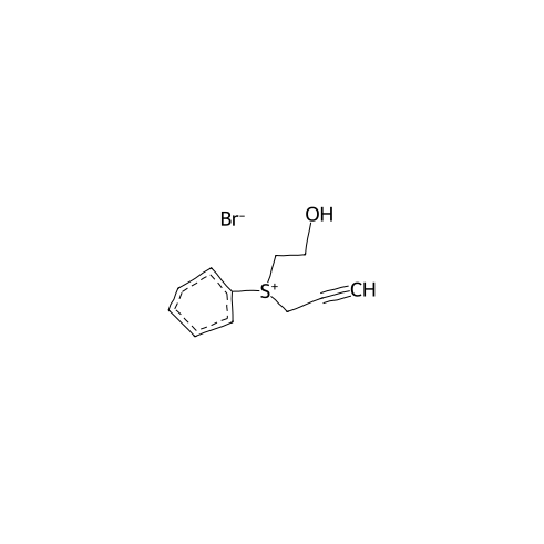 C#CC[S+](CCO)c1ccccc1.[Br-]